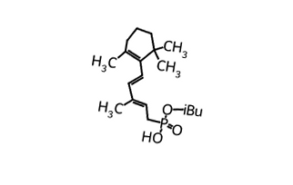 CCC(C)OP(=O)(O)CC=C(C)C=CC1=C(C)CCCC1(C)C